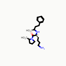 NCCCC[C@H](NC(CCc1ccccc1)C(=O)O)C(=O)N1CCCC1C(=O)O